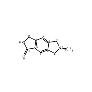 CN1Cc2cc3c(cc2C1)C(=O)OC3